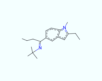 CCCC(=NC(C)(C)C)c1ccc2c(c1)cc(CC)n2C